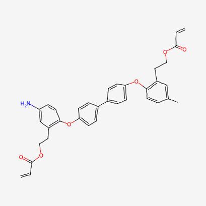 C=CC(=O)OCCc1cc(C)ccc1Oc1ccc(-c2ccc(Oc3ccc(N)cc3CCOC(=O)C=C)cc2)cc1